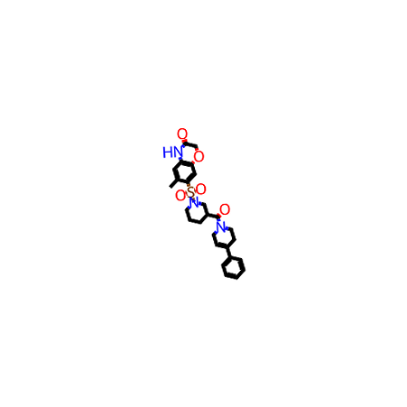 Cc1cc2c(cc1S(=O)(=O)N1CCCC(C(=O)N3CC=C(c4ccccc4)CC3)C1)OCC(=O)N2